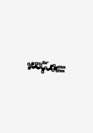 CCCCCCC1(CCCCCC)OCC(COC(=O)NCC(O)CS(=O)(=O)[O-])O1.[Na+]